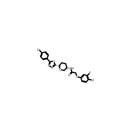 O=C(COc1ccc(Cl)c(F)c1)N[C@H]1CC[C@@H](c2nnc(-c3ccc(Cl)cc3)o2)OC1